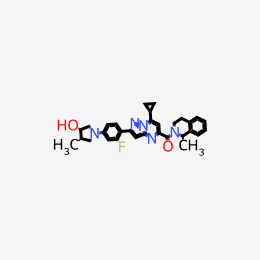 C[C@@H]1c2ccccc2CCN1C(=O)c1cc(C2CC2)n2nc(-c3ccc(N4C[C@H](C)[C@@H](O)C4)cc3F)cc2n1